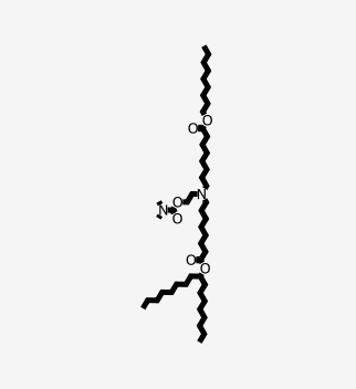 CCCCCCCCCOC(=O)CCCCCCCN(CCCCCCCC(=O)OC(CCCCCCCC)CCCCCCCC)CCOC(=O)N(C)C